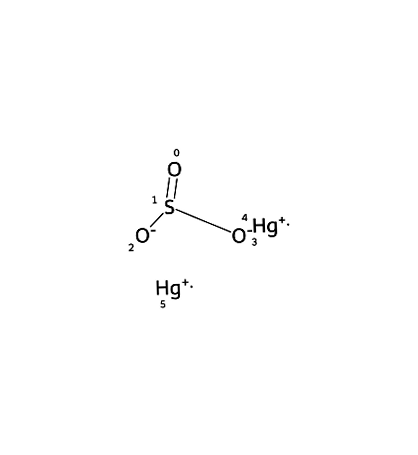 O=S([O-])[O-].[Hg+].[Hg+]